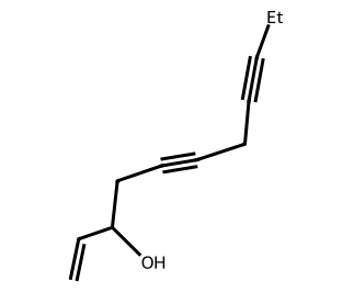 C=CC(O)CC#CCC#CCC